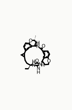 CC[C@]12CCC3CC3c3ccc4c(c3)[C@H](C[C@@H](C)O4)NC(=O)c3ccc4c(c3)[C@@H](CCO4)N(C(=N)N1)C(=O)C2